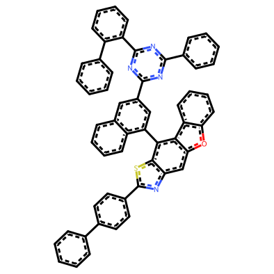 c1ccc(-c2ccc(-c3nc4cc5oc6ccccc6c5c(-c5cc(-c6nc(-c7ccccc7)nc(-c7ccccc7-c7ccccc7)n6)cc6ccccc56)c4s3)cc2)cc1